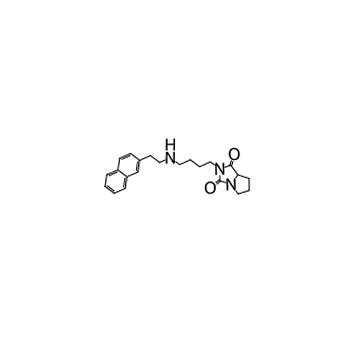 O=C1C2CCCN2C(=O)N1CCCCNCCc1ccc2ccccc2c1